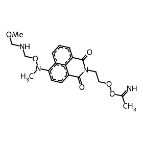 COCNCON(C)c1ccc2c3c(cccc13)C(=O)N(CCOOC(C)=N)C2=O